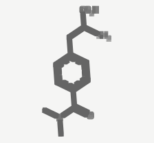 CN(C)C(=O)c1ccc(CC(N)C(=O)O)cc1